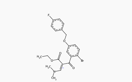 CCOC(=O)/C(=C\N(C)C)C(=O)c1cc(OCc2ccc(F)cc2)ccc1Br